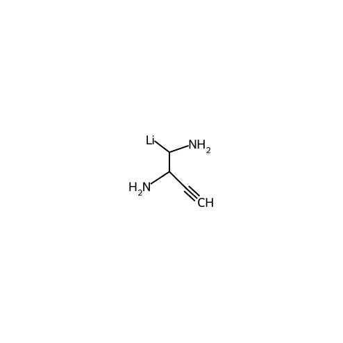 [Li][CH](N)C(N)C#C